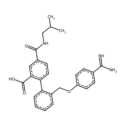 CC(C)CNC(=O)c1ccc(-c2ccccc2COc2ccc(C(=N)N)cc2)c(C(=O)O)c1